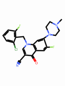 CN1CCN(c2cc3c(cc2F)c(=O)c(C#N)cn3Cc2c(F)cccc2Cl)CC1